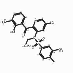 COCN(c1cc(Cl)cnc1C(=O)c1cccc([N+](=O)[O-])c1Cl)S(=O)(=O)c1ccc(C)c(C(F)(F)F)c1